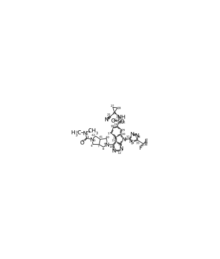 CN(C)C(=O)N1CC2CN(c3ncnc4c3c3ccc(S(=O)(=O)NC5(C#N)CC5)cc3n4-c3nnc(C(F)F)s3)CC2C1